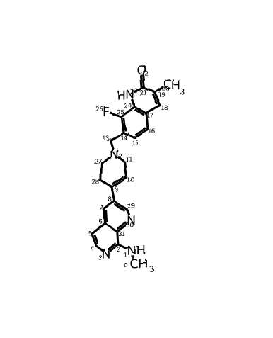 CNc1nccc2cc(C3=CCN(Cc4ccc5cc(C)c(=O)[nH]c5c4F)CC3)cnc12